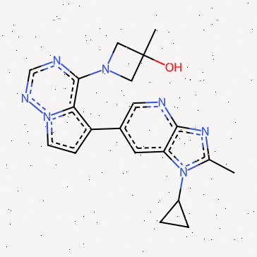 Cc1nc2ncc(-c3ccn4ncnc(N5CC(C)(O)C5)c34)cc2n1C1CC1